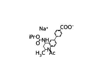 CC(=O)N1c2ccc(-c3ccc(C(=O)[O-])cc3)cc2[C@H](NC(=O)OC(C)C)C[C@@H]1C.[Na+]